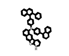 C1=Cc2c(oc3cc4cccc(N(c5ccc(C6=CCCc7ccccc76)cc5)c5ccc(-c6c(-c7ccccc7)ccc7ccccc67)cc5)c4cc23)NC1